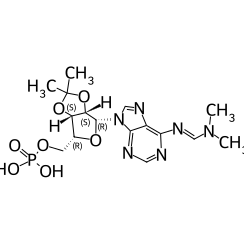 CN(C)C=Nc1ncnc2c1ncn2[C@@H]1O[C@H](COP(=O)(O)O)[C@@H]2OC(C)(C)O[C@@H]21